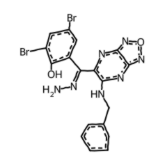 NN=C(c1cc(Br)cc(Br)c1O)c1nc2nonc2nc1NCc1ccccc1